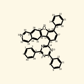 c1ccc(-c2nc(-c3ccccc3)nc(-c3ccc(-c4ccccc4)c4oc5cc6cnccc6cc5c34)n2)cc1